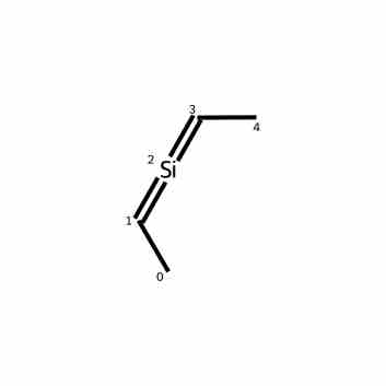 CC=[Si]=CC